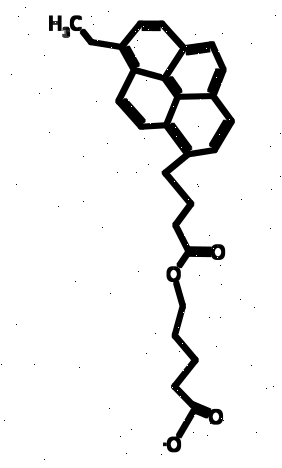 CCc1ccc2ccc3ccc(CCCC(=O)OCCCCC([O])=O)c4ccc1c2c34